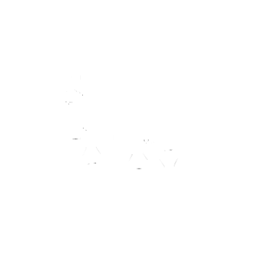 CCC(C(=O)O)N(CCc1noc(C)n1)C(=O)c1cccc(COc2ccc(-c3cc(F)c(F)cc3SC)cc2)c1